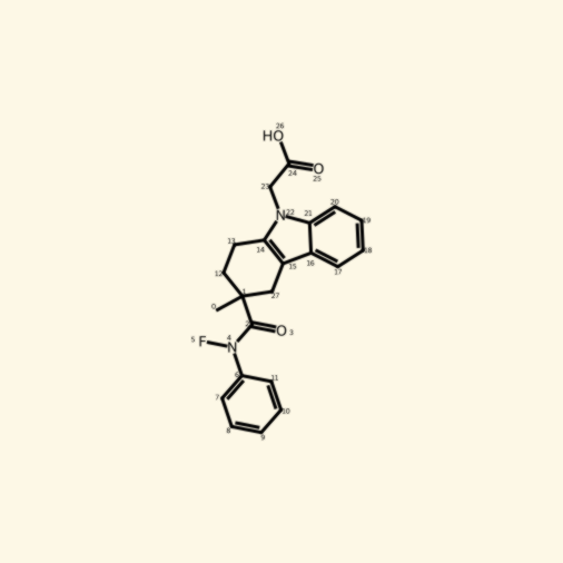 CC1(C(=O)N(F)c2ccccc2)CCc2c(c3ccccc3n2CC(=O)O)C1